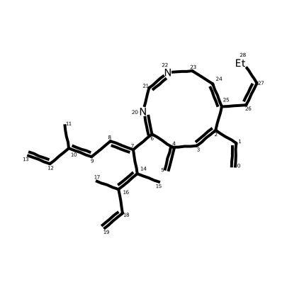 C=C/C1=C/C(=C)C(C(=C/C=C(\C)C=C)/C(C)=C(\C)C=C)=N/C=N\C/C=C1/C=C\CC